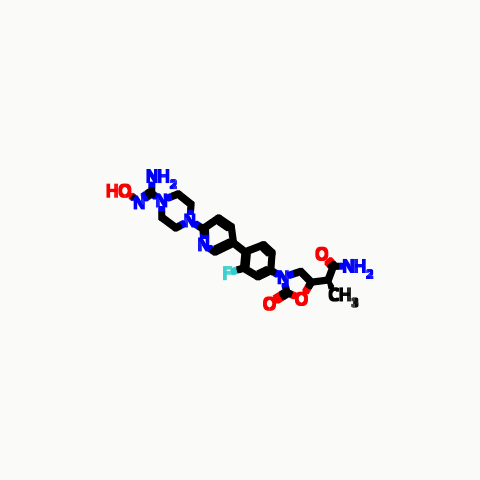 C[C@H](C(N)=O)C1CN(c2ccc(-c3ccc(N4CCN(C(N)=NO)CC4)nc3)c(F)c2)C(=O)O1